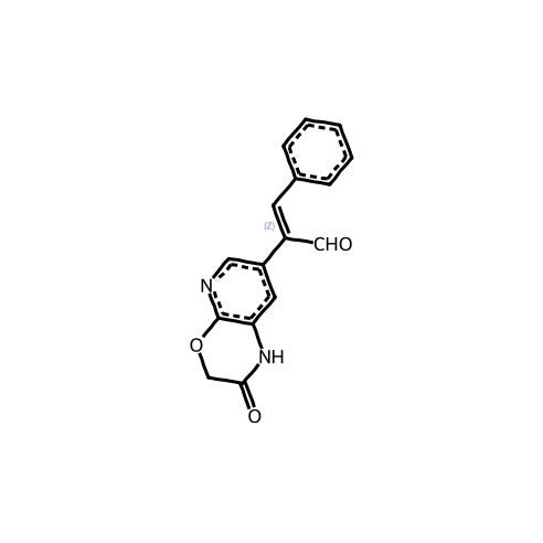 O=C/C(=C\c1ccccc1)c1cnc2c(c1)NC(=O)CO2